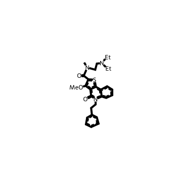 CCN(CC)CCN(C)C(=O)c1sc2c(c1OC)c(=O)n(CCc1ccccc1)c1ccccc21